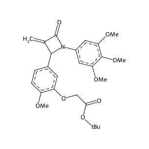 C=C1C(=O)N(c2cc(OC)c(OC)c(OC)c2)C1c1ccc(OC)c(OCC(=O)OC(C)(C)C)c1